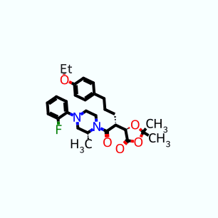 CCOc1ccc(CCC[C@@H](C(=O)N2CCN(c3ccccc3F)C[C@H]2C)[C@@H]2OC(C)(C)OC2=O)cc1